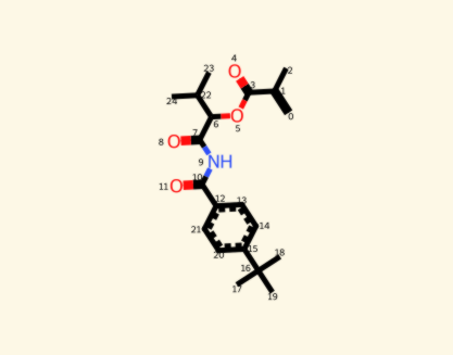 C=C(C)C(=O)OC(C(=O)NC(=O)c1ccc(C(C)(C)C)cc1)C(C)C